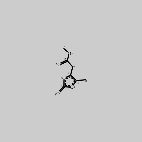 COC(=O)Cc1oc(=O)oc1C